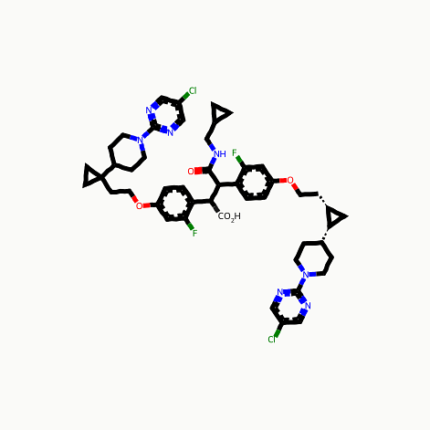 O=C(O)C(c1ccc(OCCC2(C3CCN(c4ncc(Cl)cn4)CC3)CC2)cc1F)C(C(=O)NCC1CC1)c1ccc(OCC[C@@H]2C[C@@H]2C2CCN(c3ncc(Cl)cn3)CC2)cc1F